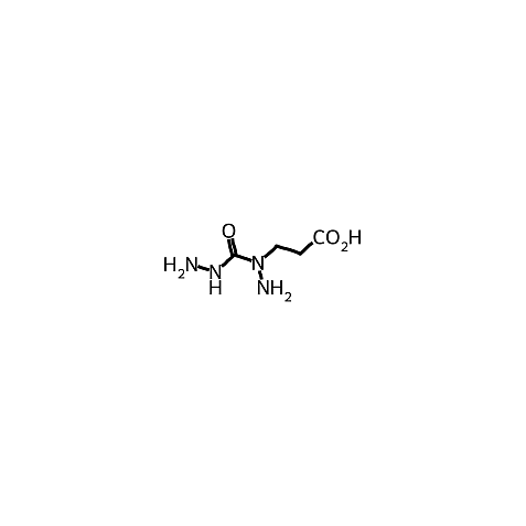 NNC(=O)N(N)CCC(=O)O